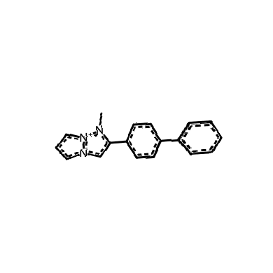 Cn1c(-c2ccc(-c3ccccc3)cc2)cn2ccc[n+]12